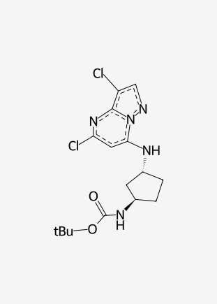 CC(C)(C)OC(=O)N[C@@H]1CC[C@@H](Nc2cc(Cl)nc3c(Cl)cnn23)C1